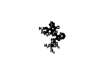 CC(NC(=O)c1c(NC(=O)OC(C)(C)C)nn2cccnc12)c1cc(Cl)c2cncn2c1/C(C=N)=C/N